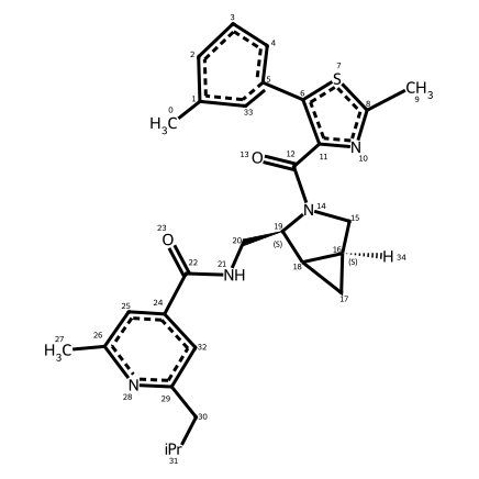 Cc1cccc(-c2sc(C)nc2C(=O)N2C[C@H]3CC3[C@H]2CNC(=O)c2cc(C)nc(CC(C)C)c2)c1